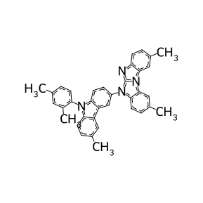 Cc1ccc(-n2c3ccc(C)cc3c3cc(-n4c5ccc(C)cc5n5c6cc(C)ccc6nc45)ccc32)c(C)c1